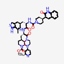 Cc1cc(C[C@H](NC(=O)N2CCC(c3cc4ccccc4[nH]c3=O)CC2)C(=O)N[C@@H](CC2CCN(C(=O)OC(C)(C)C)CC2)C(=O)N2CCN(c3ccncc3)CC2)cc2cn[nH]c12